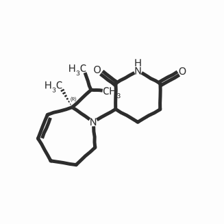 CC(C)[C@]1(C)C=CCCCN1C1CCC(=O)NC1=O